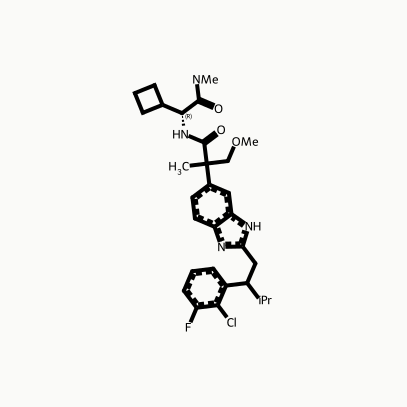 CNC(=O)[C@H](NC(=O)C(C)(COC)c1ccc2nc(CC(c3cccc(F)c3Cl)C(C)C)[nH]c2c1)C1CCC1